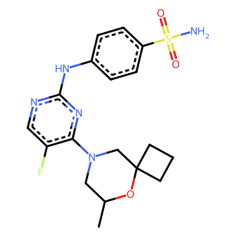 CC1CN(c2nc(Nc3ccc(S(N)(=O)=O)cc3)ncc2F)CC2(CCC2)O1